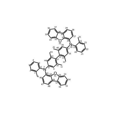 Cc1ccccc1N(c1cc(C)c(-c2c(C)cc(N(c3ccccc3C)c3cccc4c3oc3ccccc34)cc2C)c(C)c1)c1cccc2c1oc1ccccc12